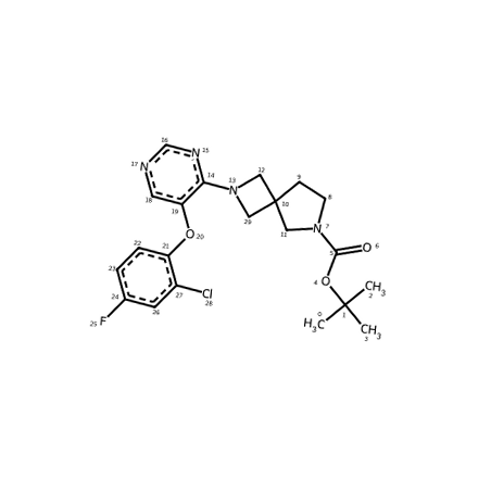 CC(C)(C)OC(=O)N1CCC2(C1)CN(c1ncncc1Oc1ccc(F)cc1Cl)C2